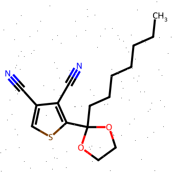 CCCCCCCC1(c2scc(C#N)c2C#N)OCCO1